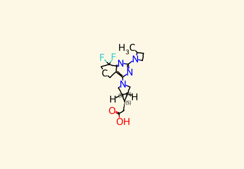 CC1CCN1c1nc(N2C[C@@H]3[C@@H](CC(=O)O)[C@@H]3C2)c2c(n1)C(F)(F)CCC2